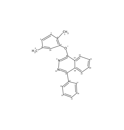 Cc1ccc(C)c(Oc2nnc(-c3ccccc3)c3ccccc23)c1